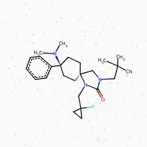 CN(C)[C@]1(c2ccccc2)CC[C@]2(CC1)CN(CC(C)(C)C#N)C(=O)N2CC1(F)CC1